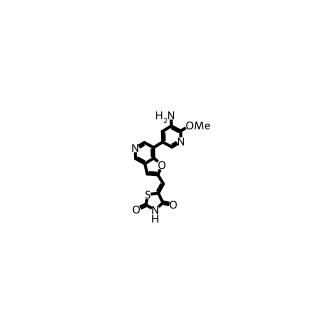 COc1ncc(-c2cncc3cc(/C=C4\SC(=O)NC4=O)oc23)cc1N